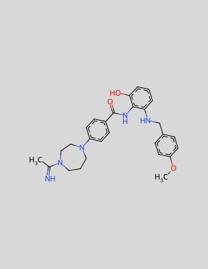 COc1ccc(CNc2cccc(O)c2NC(=O)c2ccc(N3CCCN(C(C)=N)CC3)cc2)cc1